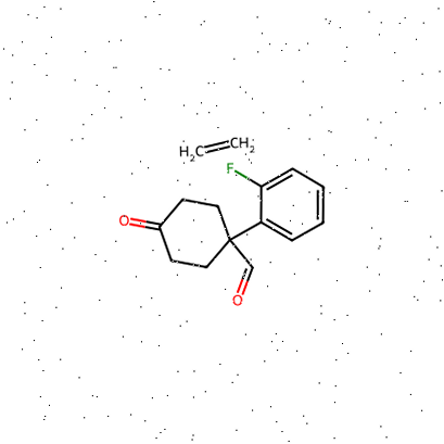 C=C.O=CC1(c2ccccc2F)CCC(=O)CC1